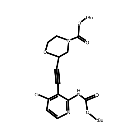 CC(C)(C)OC(=O)Nc1nccc(Cl)c1C#CC1CN(C(=O)OC(C)(C)C)CCO1